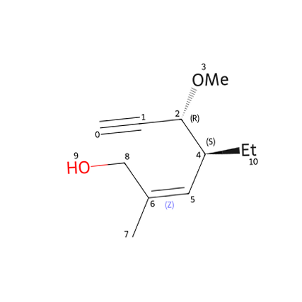 C#C[C@H](OC)[C@H](/C=C(/C)CO)CC